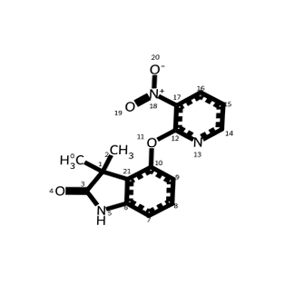 CC1(C)C(=O)Nc2cccc(Oc3ncccc3[N+](=O)[O-])c21